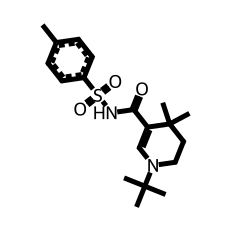 Cc1ccc(S(=O)(=O)NC(=O)C2=CN(C(C)(C)C)CCC2(C)C)cc1